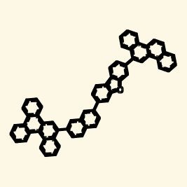 c1ccc2c(c1)ccc1c3ccccc3c(-c3ccc4c(c3)oc3cc(-c5ccc6ccc(-c7cc8c9ccccc9c9ccccc9c8c8ccccc78)cc6c5)ccc34)cc21